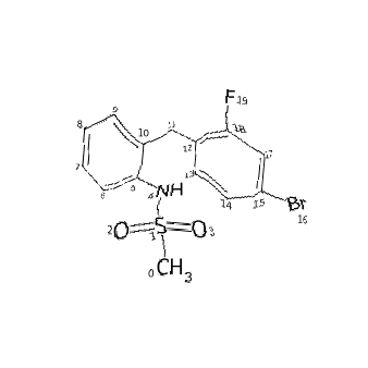 CS(=O)(=O)Nc1ccccc1Cc1ccc(Br)cc1F